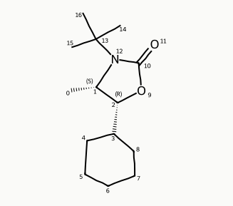 C[C@H]1[C@@H](C2CCCCC2)OC(=O)N1C(C)(C)C